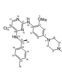 COc1cc(N2CCN(C)CC2)ccc1Nc1ncc(Cl)c(N[C@@H](C)c2ccc(C)cc2)n1